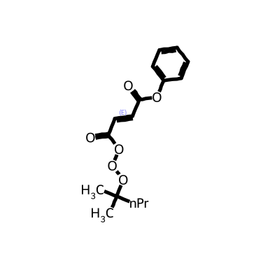 CCCC(C)(C)OOOC(=O)/C=C/C(=O)Oc1ccccc1